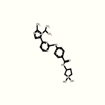 Cc1ncc(-c2ccnc(Nc3ccc(C(=O)NC4CCS(O)(O)C4)cc3)n2)n1C(C)C